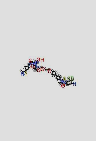 Cc1ncsc1-c1ccc(CNC(=O)[C@@H]2C[C@@H](O)CN2C(=O)C(NC(=O)COCCCOCc2ccc(-c3ccc(N4C(=S)N(c5ccc(C#N)c(C(F)(F)F)c5)C(=O)C4(C)C)cc3)cc2)C(C)(C)C)cc1